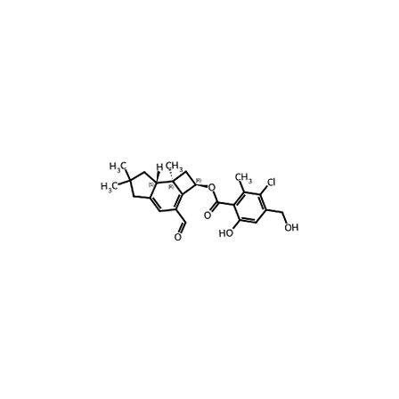 Cc1c(Cl)c(CO)cc(O)c1C(=O)O[C@@H]1C[C@@]2(C)C1=C(C=O)C=C1CC(C)(C)C[C@@H]12